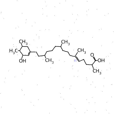 C/C(=C\CCC(C)C(=O)O)CCCC(C)CCCC(C)CCC1=CC(O)C(C)C(C)C1